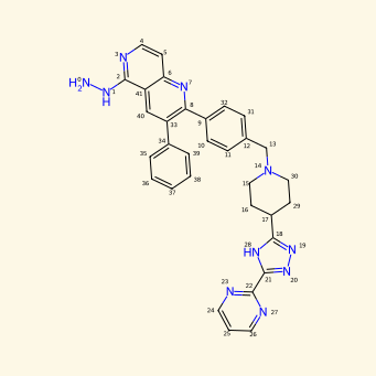 NNc1nccc2nc(-c3ccc(CN4CCC(c5nnc(-c6ncccn6)[nH]5)CC4)cc3)c(-c3ccccc3)cc12